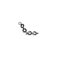 CC1CCN(C2CCN(Sc3ccc(-c4ccc(Cl)cc4)cc3)CC2)CC1